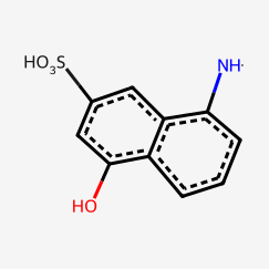 [NH]c1cccc2c(O)cc(S(=O)(=O)O)cc12